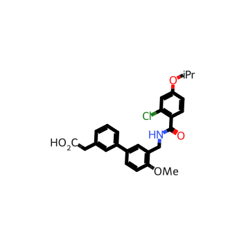 COc1ccc(-c2cccc(CC(=O)O)c2)cc1CNC(=O)c1ccc(OC(C)C)cc1Cl